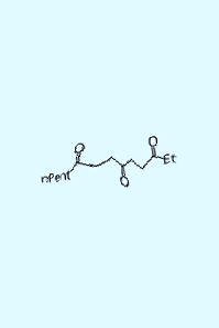 CCCCCC(=O)CCC(=O)CCC(=O)CC